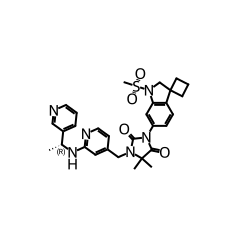 C[C@@H](Nc1cc(CN2C(=O)N(c3ccc4c(c3)N(S(C)(=O)=O)CC43CCC3)C(=O)C2(C)C)ccn1)c1cccnc1